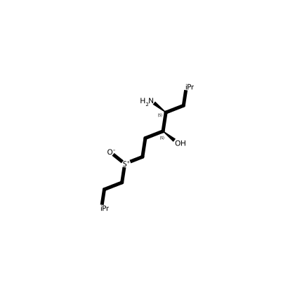 CC(C)CC[S+]([O-])CC[C@H](O)[C@@H](N)CC(C)C